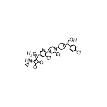 CC[C@H]1CN(c2ncc(N(C)c3c(NC4CC4)c(=O)c3=O)cc2Cl)CCN1C1CCN(C(CO)c2ccc(Cl)cc2)CC1